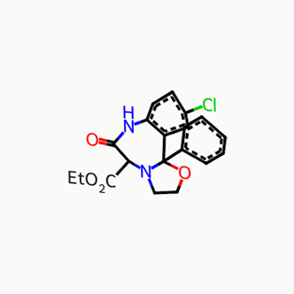 CCOC(=O)C1C(=O)Nc2ccc(Cl)cc2C2(c3ccccc3)OCCN12